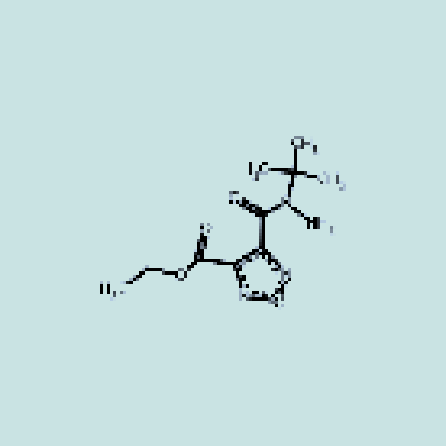 CCOC(=O)c1nonc1C(=O)N(N)C(C)(C)C